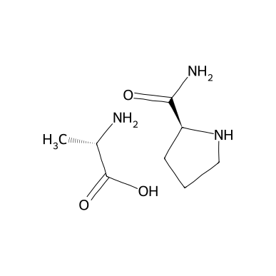 C[C@H](N)C(=O)O.NC(=O)[C@@H]1CCCN1